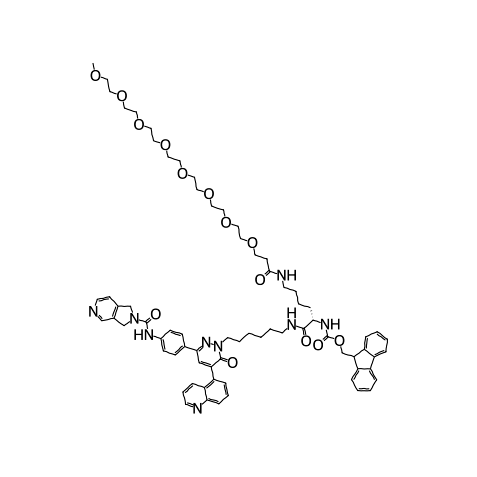 COCCOCCOCCOCCOCCOCCOCCOCCC(=O)NCCCC[C@H](NC(=O)OCC1c2ccccc2-c2ccccc21)C(=O)NCCCCCCn1nc(-c2ccc(NC(=O)N3Cc4ccncc4C3)cc2)cc(-c2cccc3ncccc23)c1=O